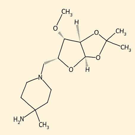 CO[C@@H]1[C@H]2OC(C)(C)O[C@H]2O[C@@H]1CN1CCC(C)(N)CC1